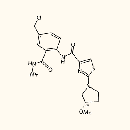 CCCNC(=O)c1cc(CCl)ccc1NC(=O)c1csc(N2CC[C@H](OC)C2)n1